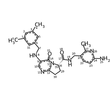 Cc1cc(C)cc(CNc2cnc3n(c2=O)[C@H](C(=O)NCc2ccc(N)nc2C)CC3)c1